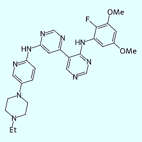 CCN1CCN(c2ccc(Nc3cc(-c4cncnc4Nc4cc(OC)cc(OC)c4F)ncn3)nc2)CC1